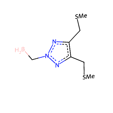 BCn1nc(CSC)c(CSC)n1